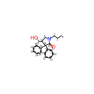 CCCN1CC(CO)C(c2ccccc2)(c2ccccc2)C1=O